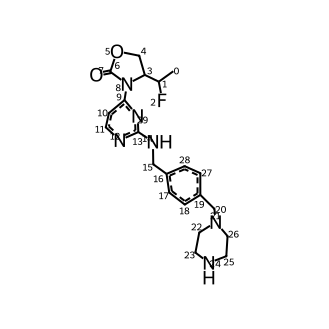 CC(F)C1COC(=O)N1c1ccnc(NCc2ccc(CN3CCNCC3)cc2)n1